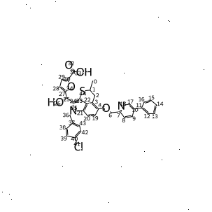 CC1Cc2c(OCc3ccc(-c4ccccc4)cn3)ccc3c2c(c(C(O)c2ccc(C(=O)O)o2)n3Cc2ccc(Cl)cc2)S1